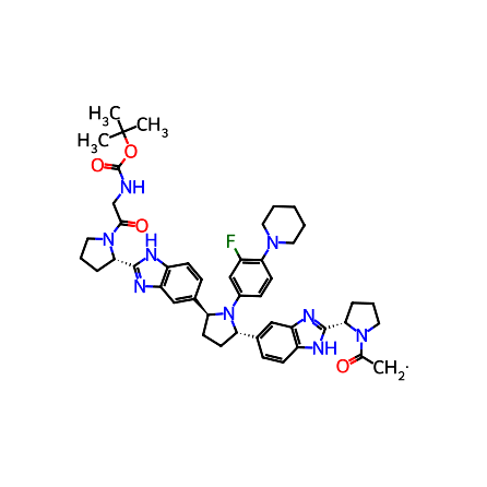 [CH2]C(=O)N1CCC[C@H]1c1nc2cc([C@@H]3CC[C@@H](c4ccc5[nH]c([C@@H]6CCCN6C(=O)CNC(=O)OC(C)(C)C)nc5c4)N3c3ccc(N4CCCCC4)c(F)c3)ccc2[nH]1